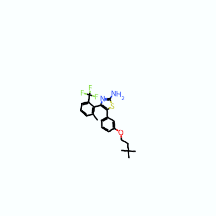 Cc1cccc(C(F)(F)F)c1-c1nc(N)sc1-c1cccc(OCCC(C)(C)C)c1